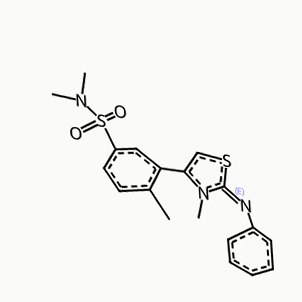 Cc1ccc(S(=O)(=O)N(C)C)cc1-c1cs/c(=N/c2ccccc2)n1C